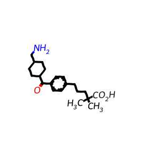 CC(C)(CCCc1ccc(C(=O)C2CCC(CN)CC2)cc1)C(=O)O